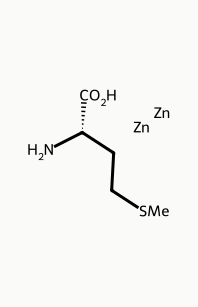 CSCC[C@H](N)C(=O)O.[Zn].[Zn]